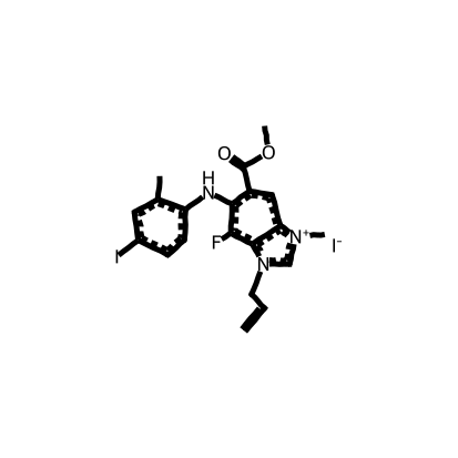 C=CCn1c[n+](C)c2cc(C(=O)OC)c(Nc3ccc(I)cc3C)c(F)c21.[I-]